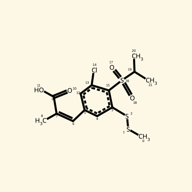 CSSc1cc(C=C(C)C(=O)O)cc(Cl)c1S(=O)(=O)C(C)C